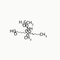 C=C(C)C(=O)OCNC(=O)OC(C/C=C/CCCCC)C(CCCCCCCC(=O)O)OCC